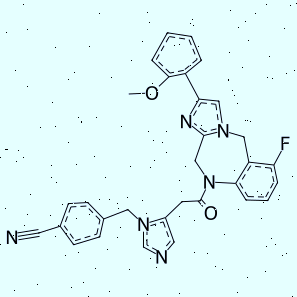 COc1ccccc1-c1cn2c(n1)CN(C(=O)Cc1cncn1Cc1ccc(C#N)cc1)c1cccc(F)c1C2